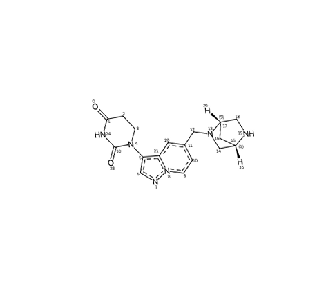 O=C1CCN(c2cnn3ccc(CN4C[C@@H]5C[C@H]4CN5)cc23)C(=O)N1